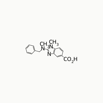 CN(Cc1ccccc1)c1nc2cc(C(=O)O)ccc2n1C